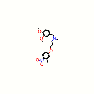 COc1ccc(CN(C)CCCOc2ccc([N+](=O)[O-])c(C)c2)cc1OC